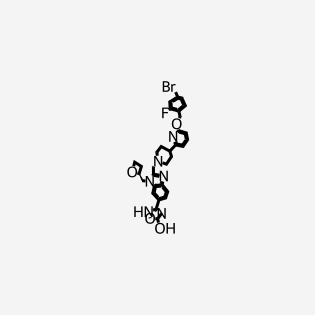 OC1N=C(c2ccc3nc(CN4CCC(c5cccc(OCc6ccc(Br)cc6F)n5)CC4)n(C[C@@H]4CCO4)c3c2)NO1